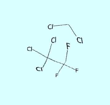 ClCCl.FC(F)(F)C(Cl)(Cl)Cl